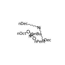 CCCCCCCCCCCCCCCCC[CH2][Ni][CH2]CCCCCCCCCCCCCCCCC.CCCCCCCCc1cccc(C2=CC(CCCC)=C(c3ccc(CCCCC)cc3)[N+]2=[N-])c1